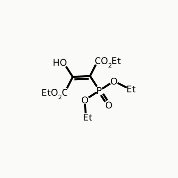 CCOC(=O)C(O)=C(C(=O)OCC)P(=O)(OCC)OCC